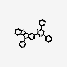 c1ccc(-c2cc(-c3ccccc3)nc(-c3ccc4c(c3)c3sc5ccccc5c3n4-c3ccccc3)n2)cc1